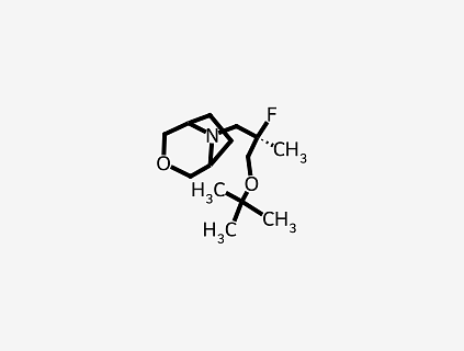 CC(C)(C)OC[C@](C)(F)CN1C2CCC1COC2